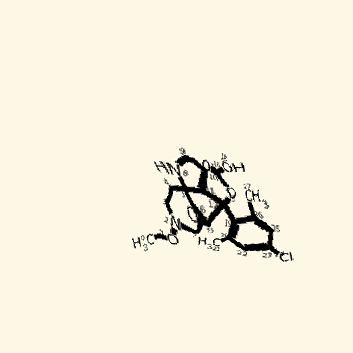 CON1CCC2(CC1)NCC=C2C(C=O)(OC(=O)O)c1c(C)cc(Cl)cc1C